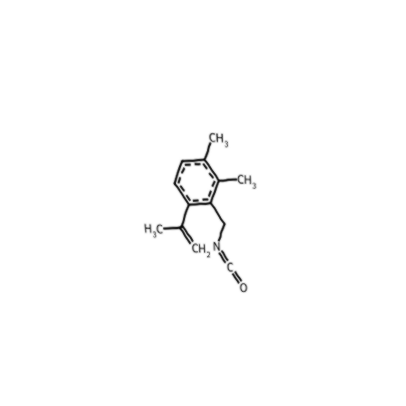 C=C(C)c1ccc(C)c(C)c1CN=C=O